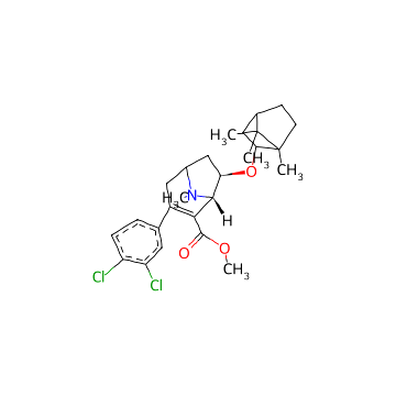 COC(=O)C1=C(c2ccc(Cl)c(Cl)c2)CC2C[C@@H](OC3CC4CCC3(C)C4(C)C)[C@H]1N2C